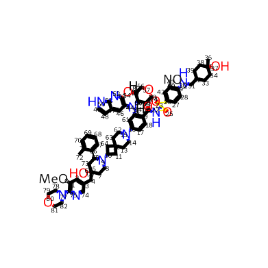 COc1cc(C[C@]2(O)CCN(C3CC4(CCN(c5ccc(C(=O)NS(=O)(=O)c6ccc(NCC7CCC(C)(O)CC7)c([N+](=O)[O-])c6)c(N6c7cc8cc[nH]c8nc7O[C@H]7COCC[C@@H]76)c5)CC4)C3)[C@H](c3ccccc3C)C2)cnc1N1CCOCC1